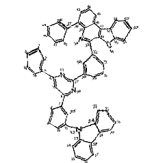 c1ccc(-c2cc(-c3cccc(-n4c5ccccc5c5ccccc54)c3)nc(-c3cccc(-c4nc5c(-c6ccccc6)cccc5c5c4oc4ccccc45)c3)n2)cc1